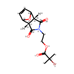 CC(C)(Br)C(=O)OCCN1C(=O)[C@@H]2C3C=CC(O3)[C@@H]2C1=O